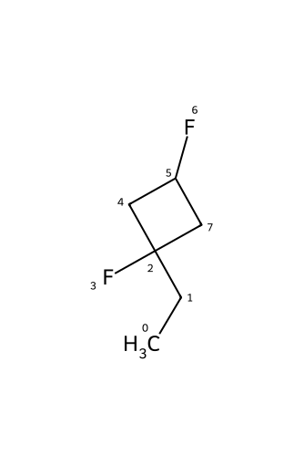 CCC1(F)CC(F)C1